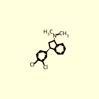 CN(C)[C@H]1C[C@H](c2ccc(Cl)c(Cl)c2)c2ccccc21